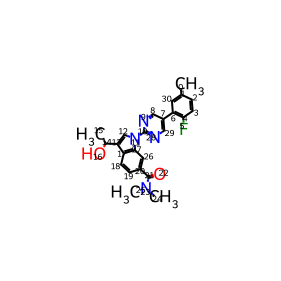 Cc1ccc(F)c(-c2cnc(-n3cc(C(C)O)c4ccc(C(=O)N(C)C)cc43)nc2)c1